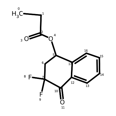 CCC(=O)OC1CC(F)(F)C(=O)c2ccccc21